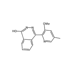 COc1cc(C)cnc1-c1nnc(O)c2ccccc12